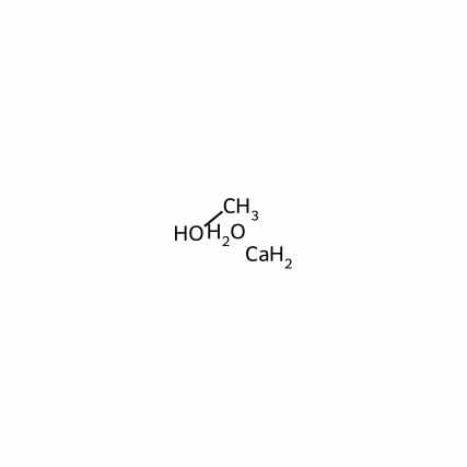 CO.O.[CaH2]